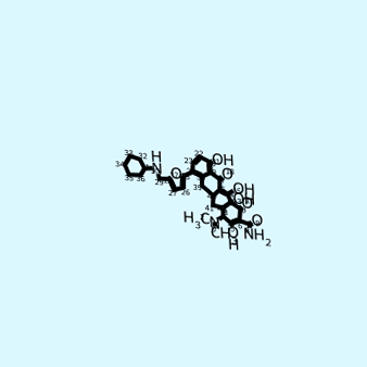 CN(C)C1C(O)=C(C(N)=O)C(=O)C2(O)C(O)=C3C(=O)c4c(O)ccc(-c5ccc(CNC6CCCCC6)o5)c4CC3CC12